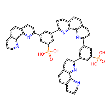 O=P(O)(O)c1cc(-c2ccc3ccc4cccnc4c3n2)cc(-c2ccc3ccc4ccc(-c5cc(-c6ccc7ccc8cccnc8c7n6)cc(P(=O)(O)O)c5)nc4c3n2)c1